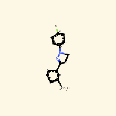 O=C(O)c1cccc(C2=NN(c3ccc(F)cc3)CC2)c1